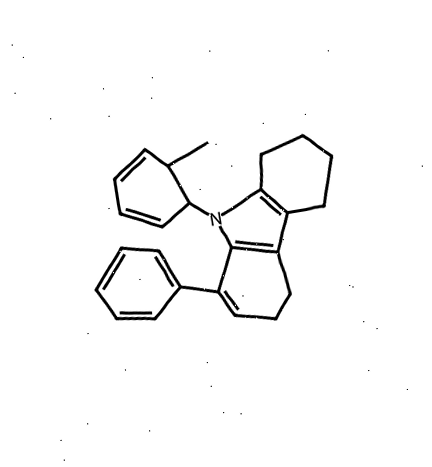 CC1C=CC=CC1n1c2c(c3c1C(c1ccccc1)=CCC3)CCCC2